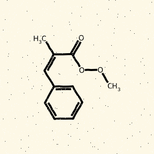 COOC(=O)C(C)=Cc1ccccc1